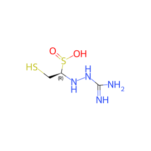 N=C(N)NN[C@@H](CS)S(=O)O